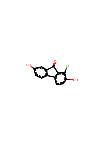 O=C1c2cc(O)ccc2-c2ccc(O)c(Cl)c21